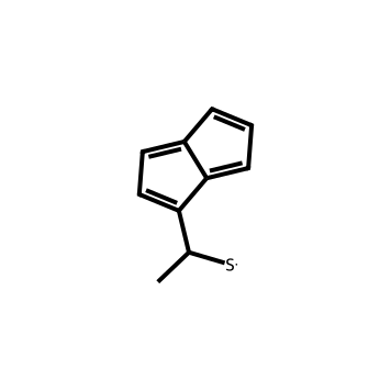 CC([S])C1=CC=C2C=CC=C21